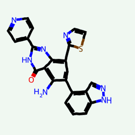 Nc1c(-c2cccc3[nH]ncc23)cc(-c2nccs2)c2nc(-c3ccncc3)[nH]c(=O)c12